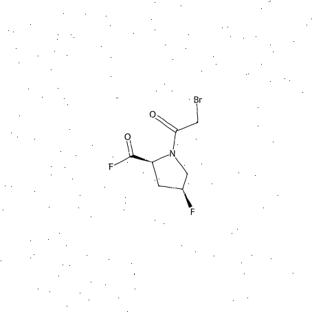 O=C(F)[C@@H]1C[C@H](F)CN1C(=O)CBr